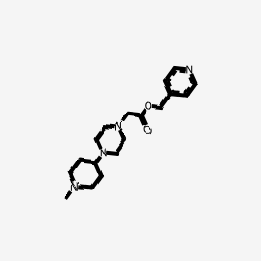 CN1CCC(N2CCN(CC(=O)OCc3ccncc3)CC2)CC1